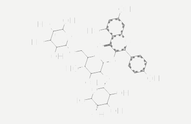 O=c1c(O[C@@H]2OC(CO[C@@H]3OC(O)[C@H](O)C(O)C3O)[C@H](O)C(O)C2O[C@@H]2OC(O)[C@H](O)C(O)C2O)c(-c2ccc(O)cc2)oc2cc(O)cc(O)c12